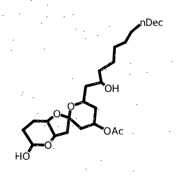 CCCCCCCCCCCCCCCC(O)CC1CC(OC(C)=O)CC2(CC3OC(O)CCC3O2)O1